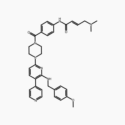 COc1ccc(CNc2nc(N3CCN(C(=O)c4ccc(NC(=O)/C=C/CN(C)C)cc4)CC3)ccc2-c2ccncc2)cc1